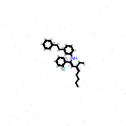 CCCC/C=C(\C=C(/Nc1cccc(CCc2ccccc2)c1)c1ccccc1F)CC